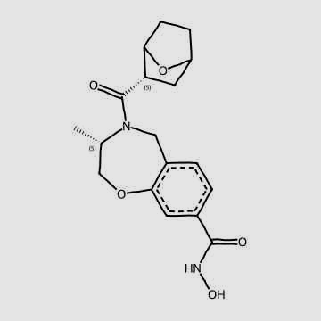 C[C@H]1COc2cc(C(=O)NO)ccc2CN1C(=O)[C@H]1CC2CCC1O2